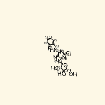 OC[C@H]1OC(n2cnc3c(NCc4ccccc4F)nc(Cl)nc32)[C@H](O)[C@@H]1O